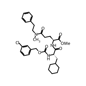 COC(=O)[C@H](CCC(=O)N(C)CCc1ccccc1)NC(=O)[C@H](CC1CCCCC1)NC(=O)OCc1cccc(Cl)c1